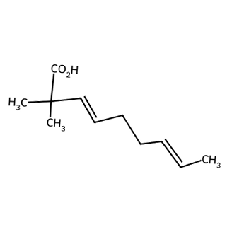 CC=CCCC=CC(C)(C)C(=O)O